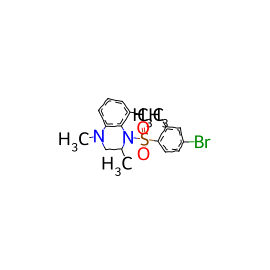 Cc1cc(Br)ccc1S(=O)(=O)N1c2c(C)cccc2N(C)CC1C